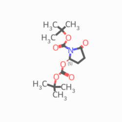 CC(C)(C)OC(=O)O[C@H]1CCC(=O)N1C(=O)OC(C)(C)C